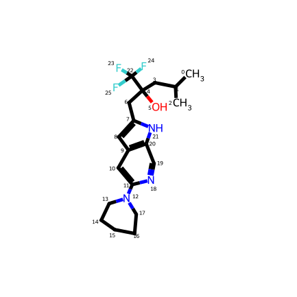 CC(C)CC(O)(Cc1cc2cc(N3CCCCC3)ncc2[nH]1)C(F)(F)F